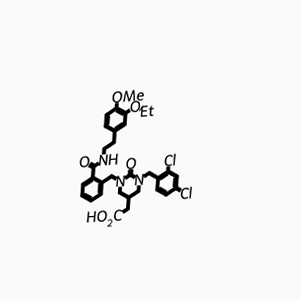 CCOc1cc(CCNC(=O)c2ccccc2CN2CC(CC(=O)O)CN(Cc3ccc(Cl)cc3Cl)C2=O)ccc1OC